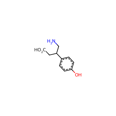 NCC(CC(=O)O)c1ccc(O)cc1